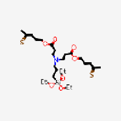 CCO[Si](CCCN(CCC(=O)OCCCC(C)=S)CCC(=O)OCCCC(C)=S)(OCC)OCC